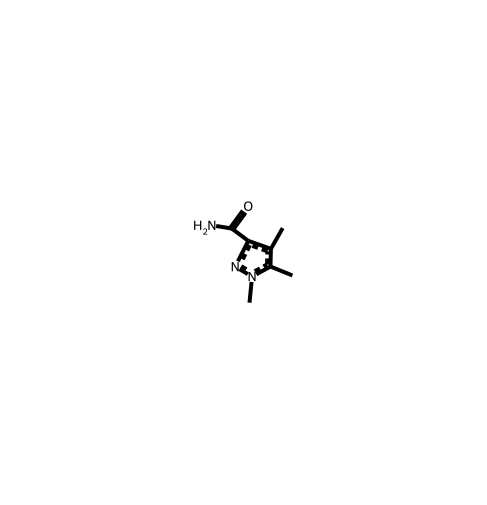 Cc1c(C(N)=O)nn(C)c1C